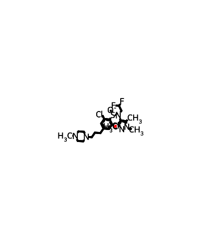 Cc1nn(C)c(C)c1N(CC(F)F)[S+]([O-])c1c(Cl)cc(CCCN2CCN(C)CC2)cc1Cl